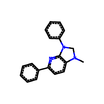 CN1CN(c2ccccc2)c2nc(-c3ccccc3)ccc21